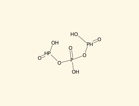 O=[PH](O)OP(=O)(O)O[PH](=O)O